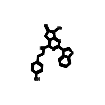 CC(C)N1C(=O)Cc2c(NCCc3ccc(O)cc3)nc(-c3csc4ccccc34)nc21